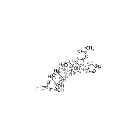 CC(=O)O[C@@H]1C[C@]2(O)[C@@H]3CC[C@H]4C[C@H]5O[C@@H]6O[C@H](C)C[C@H](O)[C@]6(O)O[C@@H]5C[C@]4(C=O)[C@H]3CC[C@]2(C)[C@H]1C1=CC(=O)OC1